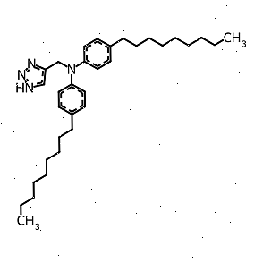 CCCCCCCCCc1ccc(N(Cc2c[nH]nn2)c2ccc(CCCCCCCCC)cc2)cc1